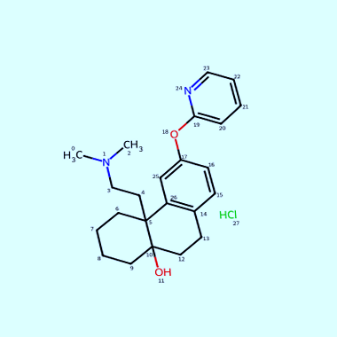 CN(C)CCC12CCCCC1(O)CCc1ccc(Oc3ccccn3)cc12.Cl